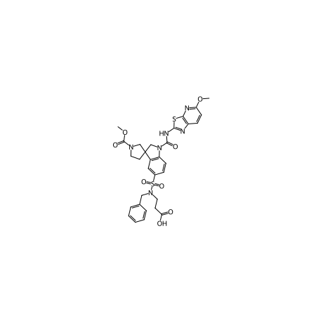 COC(=O)N1CCC2(C1)CN(C(=O)Nc1nc3ccc(OC)nc3s1)c1ccc(S(=O)(=O)N(CCC(=O)O)Cc3ccccc3)cc12